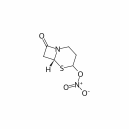 O=C1C[C@H]2SC(O[N+](=O)[O-])CCN12